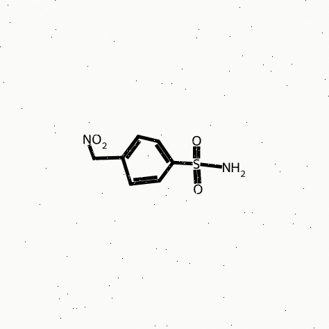 NS(=O)(=O)c1ccc(C[N+](=O)[O-])cc1